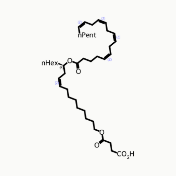 CCCCC/C=C\C/C=C\C/C=C\C/C=C\CCCC(=O)O[C@@H](C/C=C\CCCCCCCCOC(=O)CCC(=O)O)CCCCCC